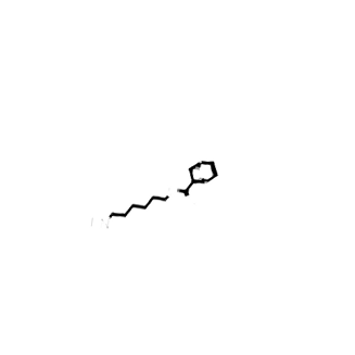 NCCCCCCOC(=O)C1CC2C=CC1O2